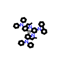 Cc1cc2c(N(c3ccccc3)c3ccccc3)ccc3c2n1-c1cc(-n2c4ccccc4c4ccccc42)cc2c1B3c1ccc(N(c3ccccc3)c3ccccc3)c3cc(C)n-2c13